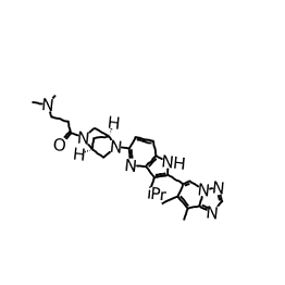 Cc1c(-c2[nH]c3ccc(N4C[C@@H]5C[C@H]4CN5C(=O)CCN(C)C)nc3c2C(C)C)cn2ncnc2c1C